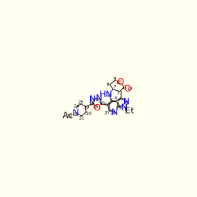 CCn1ncc2c(NC3CCOC(=O)C3)c(-c3nnc(C4CCN(C(C)=O)CC4)o3)cnc21